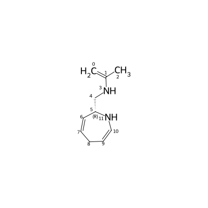 C=C(C)NC[C@H]1C=CCC=CN1